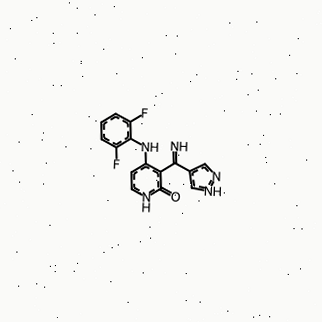 N=C(c1cn[nH]c1)c1c(Nc2c(F)cccc2F)cc[nH]c1=O